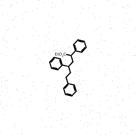 CCOC(=O)C(CC(CCc1ccccc1)c1ccccc1)c1ccccc1